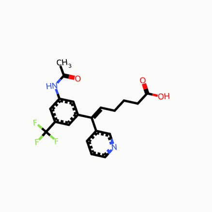 CC(=O)Nc1cc(/C(=C/CCCC(=O)O)c2cccnc2)cc(C(F)(F)F)c1